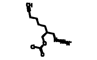 C#CCCCCC(CN=[N+]=[N-])COC(=O)Cl